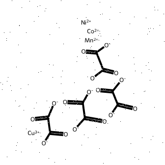 O=C([O-])C(=O)[O-].O=C([O-])C(=O)[O-].O=C([O-])C(=O)[O-].O=C([O-])C(=O)[O-].[Co+2].[Cu+2].[Mn+2].[Ni+2]